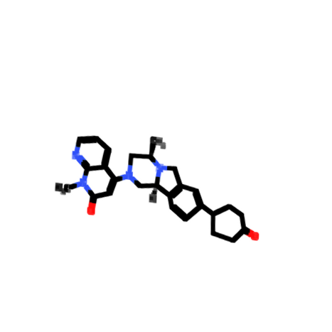 C[C@@H]1CN(c2cc(=O)n(C)c3ncccc23)C[C@@H]2c3ccc(C4CCC(=O)CC4)cc3CN12